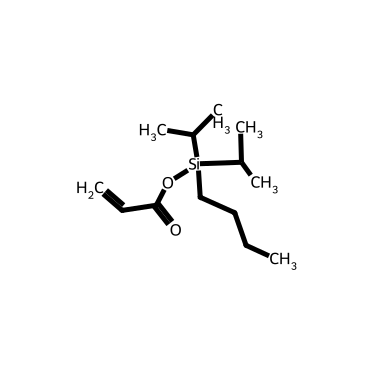 C=CC(=O)O[Si](CCCC)(C(C)C)C(C)C